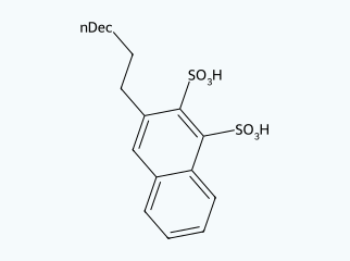 CCCCCCCCCCCCc1cc2ccccc2c(S(=O)(=O)O)c1S(=O)(=O)O